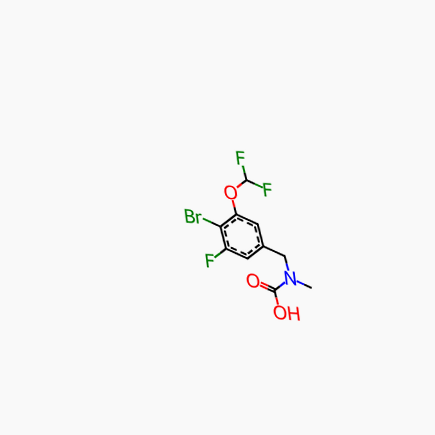 CN(Cc1cc(F)c(Br)c(OC(F)F)c1)C(=O)O